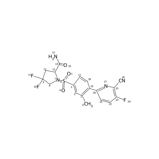 Cc1cc(S(=O)(=O)N2CC(F)(F)CC2C(N)=O)ccc1-c1ccc(F)c(C#N)n1